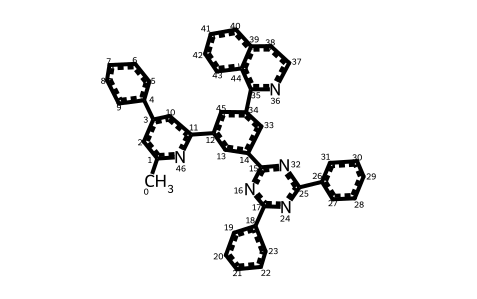 Cc1cc(-c2ccccc2)cc(-c2cc(-c3nc(-c4ccccc4)nc(-c4ccccc4)n3)cc(-c3nccc4ccccc34)c2)n1